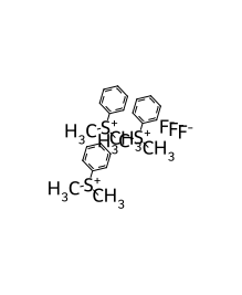 C[S+](C)c1ccccc1.C[S+](C)c1ccccc1.C[S+](C)c1ccccc1.[F-].[F-].[F-]